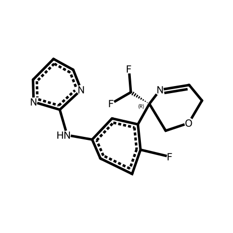 Fc1ccc(Nc2ncccn2)cc1[C@]1(C(F)F)COCC=N1